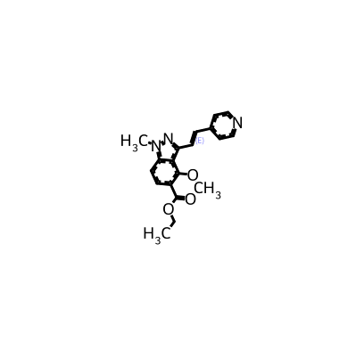 CCOC(=O)c1ccc2c(c(/C=C/c3ccncc3)nn2C)c1OC